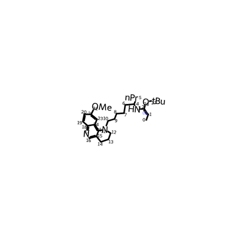 C/C=C(\NC(CCC)CCCCCN1CCCc2cnc3ccc(OC)cc3c21)OC(C)(C)C